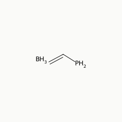 B.C=CP